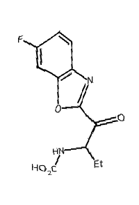 CCC(NC(=O)O)C(=O)c1nc2ccc(F)cc2o1